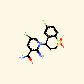 N=c1c(C(N)=O)cc(Cl)cn1C1CCS(=O)(=O)c2ccc(F)cc21